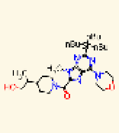 CCC[CH2][Sn]([CH2]CCC)([CH2]CCC)[c]1nc(N2CCOCC2)c2nc(C(=O)N3CCC(C(C)CO)CC3)n(C)c2n1